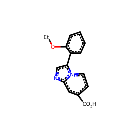 CCOc1ccccc1-c1cnc2cc(C(=O)O)ccn12